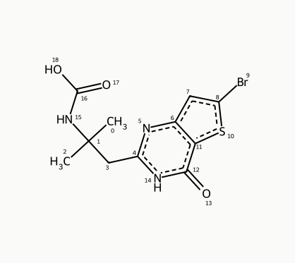 CC(C)(Cc1nc2cc(Br)sc2c(=O)[nH]1)NC(=O)O